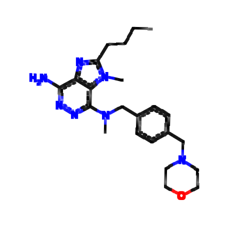 CCCCc1nc2c(N)nnc(N(C)Cc3ccc(CN4CCOCC4)cc3)c2n1C